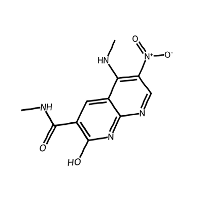 CNC(=O)c1cc2c(NC)c([N+](=O)[O-])cnc2nc1O